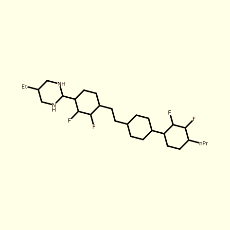 CCCC1CCC(C2CCC(CCC3CCC(C4NCC(CC)CN4)C(F)C3F)CC2)C(F)C1F